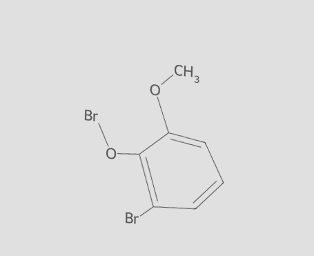 COc1cccc(Br)c1OBr